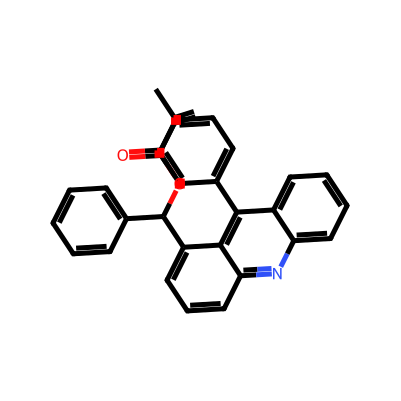 C=C(C)C(=O)OC(c1ccccc1)c1cccc2nc3ccccc3c(-c3ccccc3)c12